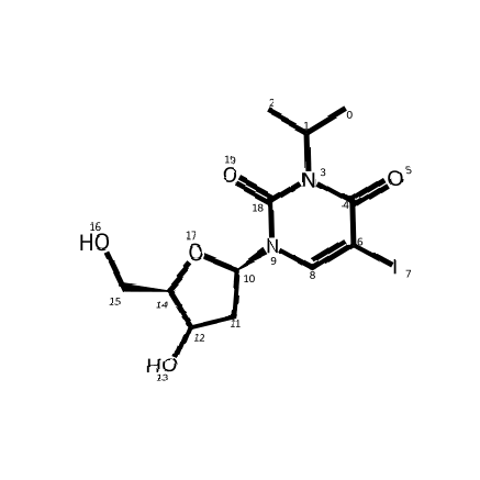 CC(C)n1c(=O)c(I)cn([C@H]2CC(O)[C@@H](CO)O2)c1=O